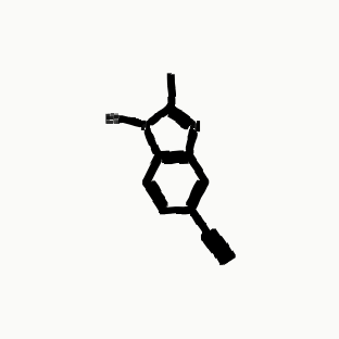 C#Cc1ccc2c(c1)nc(C)n2CC